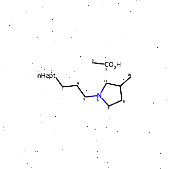 CC(=O)O.CCCCCCCCCCN1CCC(C)C1